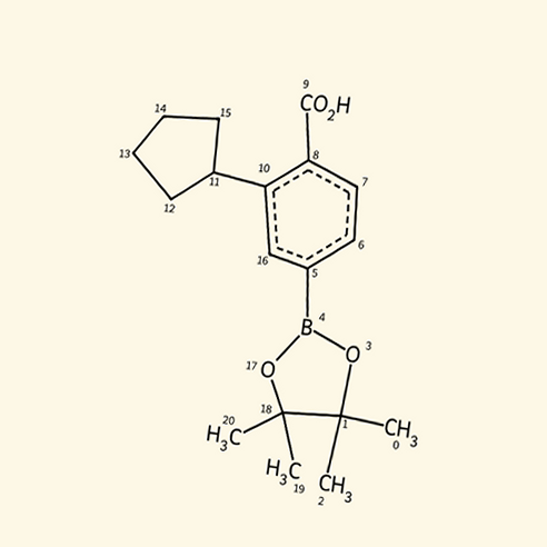 CC1(C)OB(c2ccc(C(=O)O)c(C3CCCC3)c2)OC1(C)C